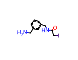 NCc1cccc(CNC(=O)CI)c1